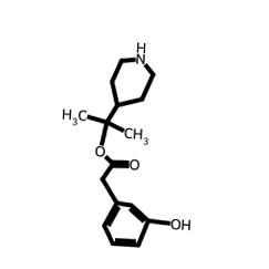 CC(C)(OC(=O)Cc1cccc(O)c1)C1CCNCC1